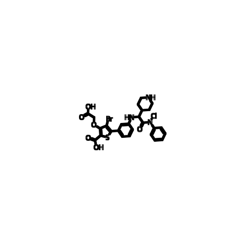 O=C(O)COc1c(C(=O)O)sc(-c2cccc(NC(C(=O)N(Cl)c3ccccc3)C3CCNCC3)c2)c1Br